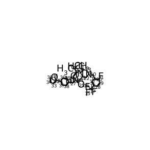 CC(C)C(=O)N1C(C)CN(Cc2cc(C(F)(F)F)ccc2F)CC1C(=O)NCc1ccc(-c2ccco2)cc1